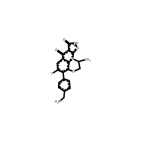 CC1COc2c(-c3ccc(CN)cc3)c(F)cc3c(=O)c4c(=O)[nH]oc4n1c23